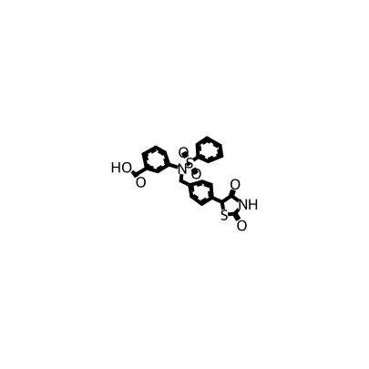 O=C1NC(=O)C(c2ccc(CN(c3cccc(C(=O)O)c3)S(=O)(=O)c3ccccc3)cc2)S1